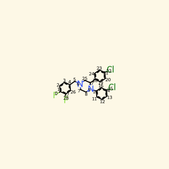 Fc1ccc(CN2CCN(c3cccc(Cl)c3)C(c3ccc(Cl)cc3)C2)cc1F